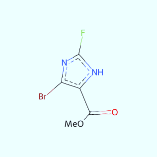 COC(=O)c1[nH]c(F)nc1Br